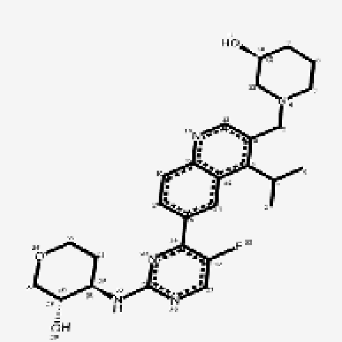 CC(C)c1c(CN2CCC[C@H](O)C2)cnc2ccc(-c3nc(N[C@@H]4CCOC[C@H]4O)ncc3F)cc12